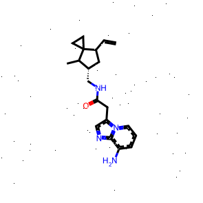 C=CC1C[C@H](CNC(=O)Cc2cnc3c(N)cccn23)C(C)C12CC2